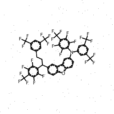 Fc1c(F)c(C(F)(F)F)c(F)c(F)c1C(CCc1cc(C(F)(F)F)cc(C(F)(F)F)c1)c1ccc2oc3ccc(N(c4cc(C(F)(F)F)cc(C(F)(F)F)c4)c4c(F)c(F)c(C(F)(F)F)c(F)c4F)cc3c2c1